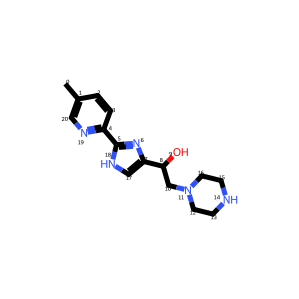 Cc1ccc(-c2nc(C(O)CN3CCNCC3)c[nH]2)nc1